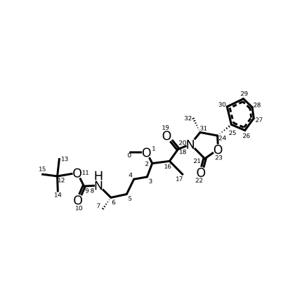 COC(CCC[C@H](C)NC(=O)OC(C)(C)C)C(C)C(=O)N1C(=O)O[C@@H](c2ccccc2)[C@H]1C